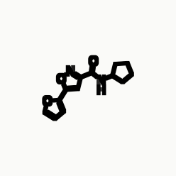 O=C(NC1CCCC1)c1cc(-c2ccco2)on1